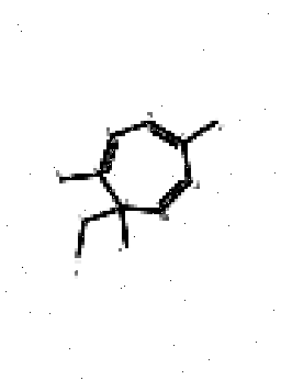 CC1=CC=C(C)C(C)(CF)C=C1